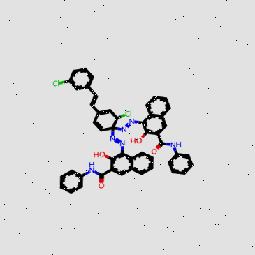 O=C(Nc1ccccc1)c1cc2ccccc2c(N=NC2(N=Nc3c(O)c(C(=O)Nc4ccccc4)cc4ccccc34)C=CC(C=Cc3cccc(Cl)c3)=CC2Cl)c1O